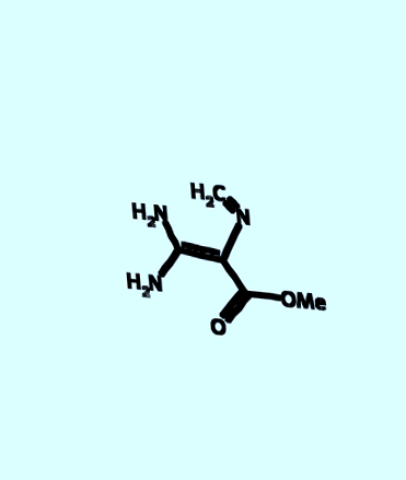 C=NC(C(=O)OC)=C(N)N